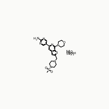 CS(=O)(=O)N1CCN(Cc2cc3cc(-c4cnc(N)nc4)nc(N4CCOCC4)c3s2)CC1.CS(=O)(=O)O.CS(=O)(=O)O.O